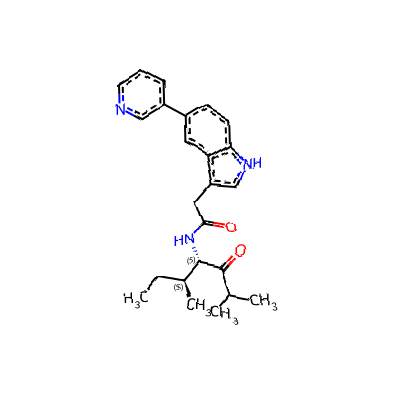 CC[C@H](C)[C@H](NC(=O)Cc1c[nH]c2ccc(-c3cccnc3)cc12)C(=O)C(C)C